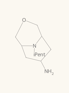 CCCC(C)N1C2COCC1CC(N)C2